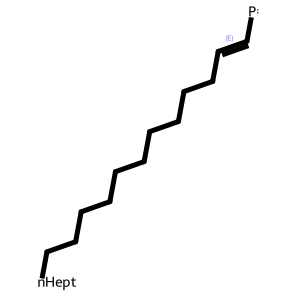 CCCCCCCCCCCCCCCCC/C=C/[P]